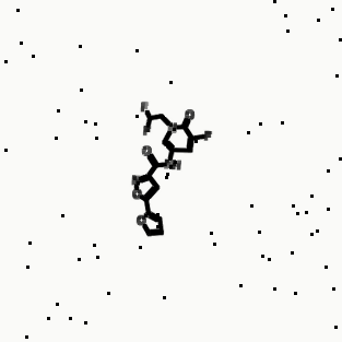 O=C(Nc1cc(F)c(=O)n(CC(F)F)c1)c1cc(-c2ccco2)on1